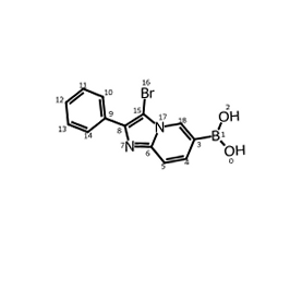 OB(O)c1ccc2nc(-c3ccccc3)c(Br)n2c1